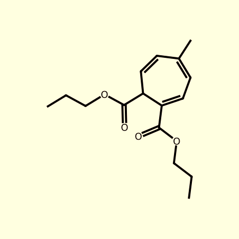 CCCOC(=O)C1=CC=C(C)C=CC1C(=O)OCCC